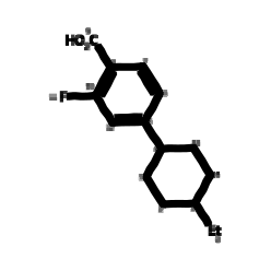 CCC1CCC(c2ccc(C(=O)O)c(F)c2)CC1